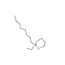 CCCCCCCC[Si]1(CC)CCCCO1